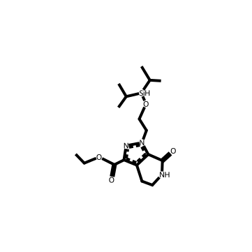 CCOC(=O)c1nn(CCO[SiH](C(C)C)C(C)C)c2c1CCNC2=O